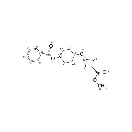 COC(=O)[C@H]1C[C@H](OC2CCN(OC(=O)c3ccccc3)CC2)C1